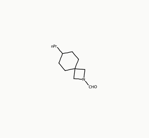 CCCC1CCC2(CC1)CN(C=O)C2